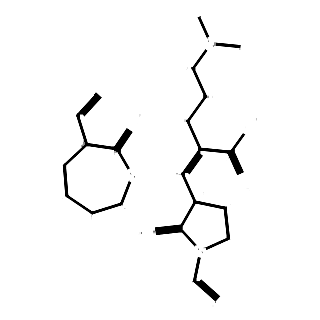 C=CC1CCCCNC1=O.C=CN1CCC(C=C(CCCN(C)C)C(=O)O)C1=O